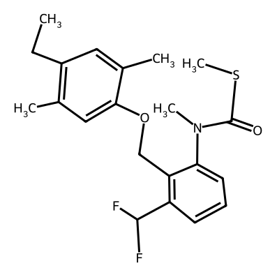 CCc1cc(C)c(OCc2c(C(F)F)cccc2N(C)C(=O)SC)cc1C